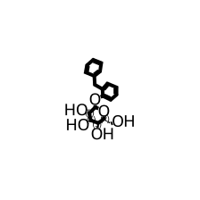 OC[C@H]1OC(Oc2ccccc2Cc2ccccc2)[C@H](O)[C@@H](O)[C@@H]1O